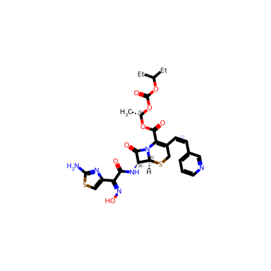 CCC(CC)OC(=O)O[C@@H](C)OC(=O)C1=C(/C=C\c2cccnc2)CS[C@H]2[C@H](NC(=O)C(=NO)c3csc(N)n3)C(=O)N12